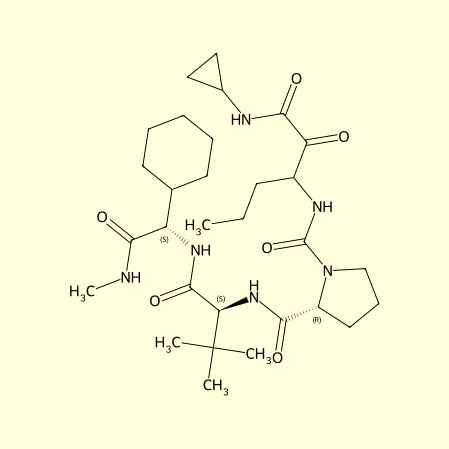 CCCC(NC(=O)N1CCC[C@@H]1C(=O)N[C@H](C(=O)N[C@H](C(=O)NC)C1CCCCC1)C(C)(C)C)C(=O)C(=O)NC1CC1